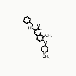 Cc1c(OC2CCN(C)CC2)ccc2cc(NCc3ccccc3)c(=O)oc12